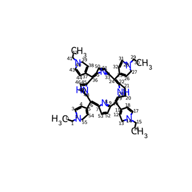 CCN1C=CC(c2c3nc(c(C4=CCN(CC)C=C4)c4ccc([nH]4)c(C4=CCN(CC)C=C4)c4nc(c(C5=CCN(CC)C=C5)c5ccc2[nH]5)C=C4)C=C3)=CC1